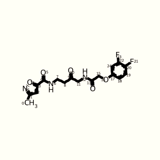 Cc1cc(C(=O)NCCC(=O)CNC(=O)COc2ccc(F)c(F)c2)on1